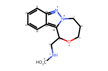 O=C(O)NCC1OCCCn2nc3ccccc3c21